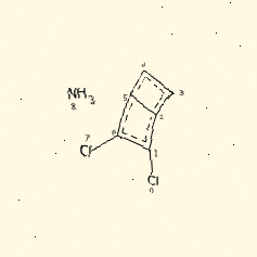 Clc1c2ccc-2c1Cl.N